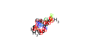 CCOC(=O)C(C)Oc1ccc(Oc2nc3ccc(Cl)cc3o2)cc1.CCOc1ccccc1OS(=O)(=O)NC(=O)Nc1nc(OC)cc(OC)n1.CS(=O)(=O)c1ccc(C(=O)C2C(=O)CCCC2=O)c(Cl)c1COCC(F)(F)F